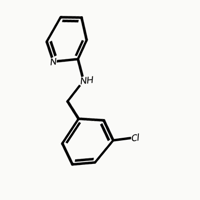 Clc1cccc(CNc2ccccn2)c1